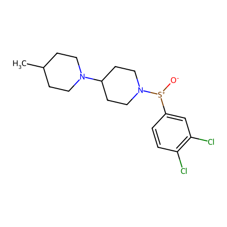 CC1CCN(C2CCN([S+]([O-])c3ccc(Cl)c(Cl)c3)CC2)CC1